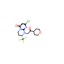 O=C(CN1c2nc(Cl)cc(=O)n2CC[C@H]1C(F)(F)F)C1CCOCC1